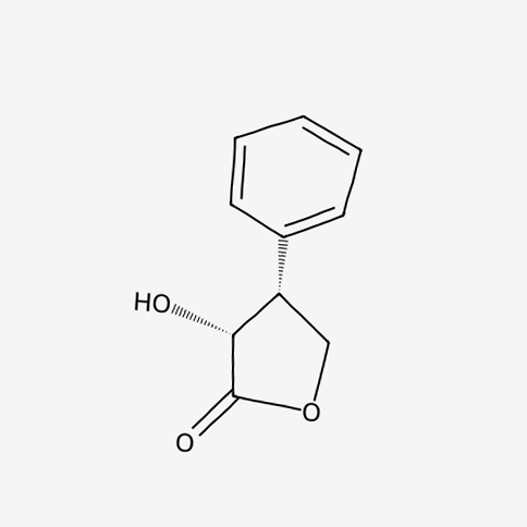 O=C1OC[C@@H](c2ccccc2)[C@H]1O